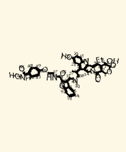 CCC1(O)C(=O)OCc2c1cc1n(c2=O)Cc2c-1nc1ccc(O)cc1c2C(C)CN(C)Cc1c(C(=O)NCCOc2ccc(C(=O)NO)cc2)oc2ccccc12